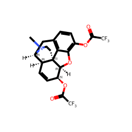 CN1CC[C@]23c4c5ccc(OC(=O)C(F)(F)F)c4O[C@H]2[C@@H](OC(=O)C(F)(F)F)C=C[C@H]3[C@H]1C5